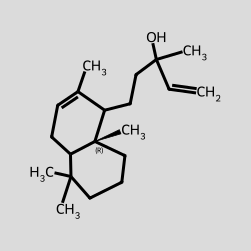 C=CC(C)(O)CCC1C(C)=CCC2C(C)(C)CCC[C@@]12C